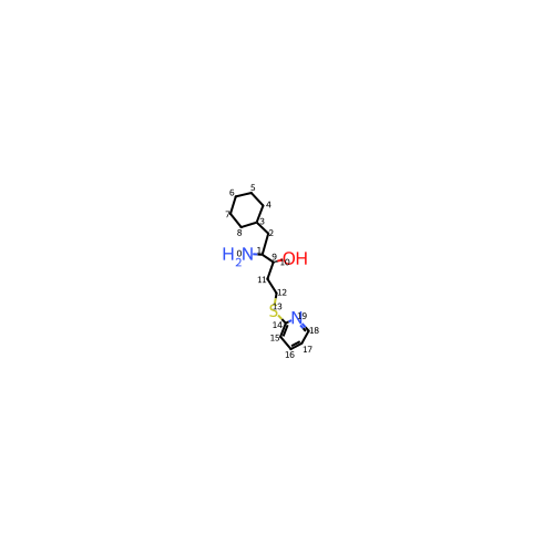 NC(CC1CCCCC1)[C@@H](O)CCSc1ccccn1